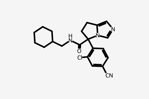 N#Cc1ccc(C2(C(=O)NCC3CCCCC3)CCc3cncn32)c(Cl)c1